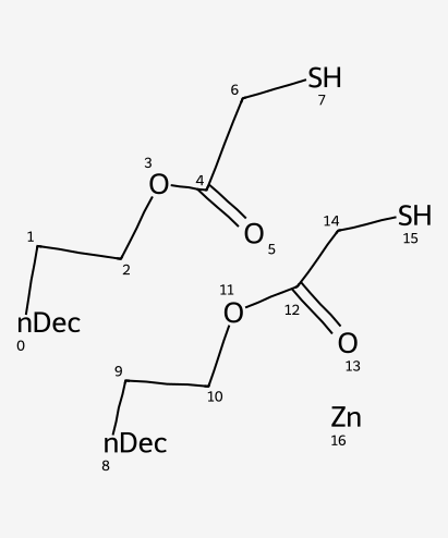 CCCCCCCCCCCCOC(=O)CS.CCCCCCCCCCCCOC(=O)CS.[Zn]